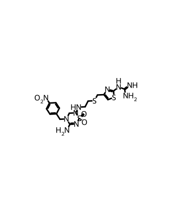 N=C(N)Nc1nc(CSCCNN2CN(Cc3ccc([N+](=O)[O-])cc3)C(N)=NS2(=O)=O)cs1